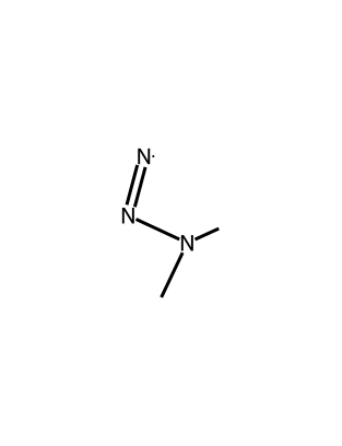 CN(C)N=[N]